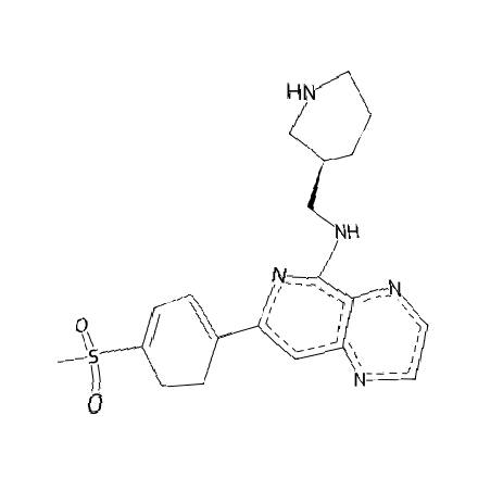 CS(=O)(=O)C1=CC=C(c2cc3nccnc3c(NC[C@@H]3CCCNC3)n2)CC1